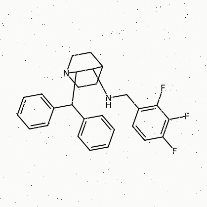 Fc1ccc(CNC2C3CCN(CC3)C2C(c2ccccc2)c2ccccc2)c(F)c1F